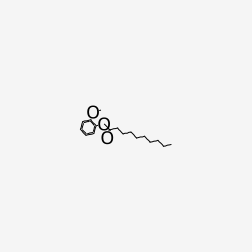 CCCCCCCCCC(=O)Oc1ccccc1OC